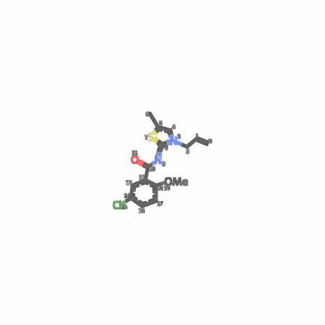 C=CCn1cc(C)sc1=NC(=O)c1cc(Cl)ccc1OC